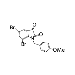 COc1ccc(CN2C(=O)C(=O)c3cc(Br)cc(Br)c32)cc1